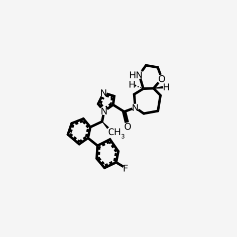 C[C@@H](c1ccccc1-c1ccc(F)cc1)n1cncc1C(=O)N1CCC[C@H]2OCCN[C@@H]2C1